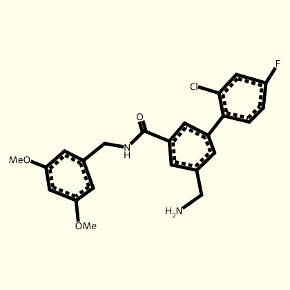 COc1cc(CNC(=O)c2cc(CN)cc(-c3ccc(F)cc3Cl)c2)cc(OC)c1